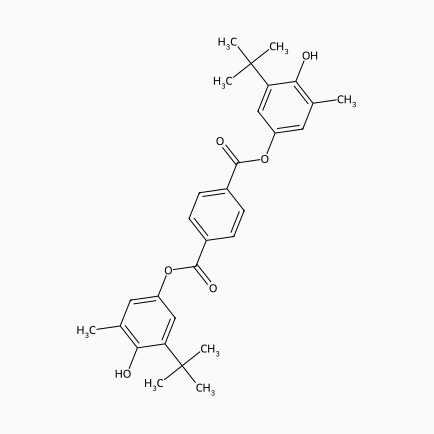 Cc1cc(OC(=O)c2ccc(C(=O)Oc3cc(C)c(O)c(C(C)(C)C)c3)cc2)cc(C(C)(C)C)c1O